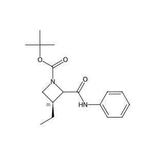 CC[C@H]1CN(C(=O)OC(C)(C)C)C1C(=O)Nc1ccccc1